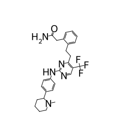 CN1CCCCC1c1ccc(Nc2ncc(C(F)(F)F)c(CCc3ccccc3CC(N)=O)n2)cc1